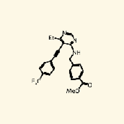 CCc1ncnc(NCc2ccc(C(=O)OC)cc2)c1C#Cc1ccc(C(F)(F)F)cc1